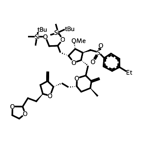 C=C1C[C@H](CCC2OCCO2)O[C@H]1CC[C@H]1C[C@H](C)C(=C)C(C[C@@H]2O[C@H](CC(CO[Si](C)(C)C(C)(C)C)O[Si](C)(C)C(C)(C)C)[C@H](OC)[C@H]2CS(=O)(=O)c2ccc(CC)cc2)O1